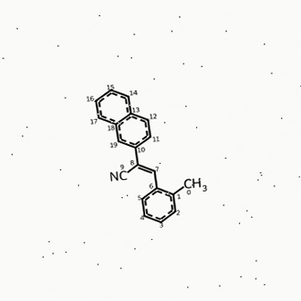 Cc1ccccc1/C=C(\C#N)c1ccc2ccccc2c1